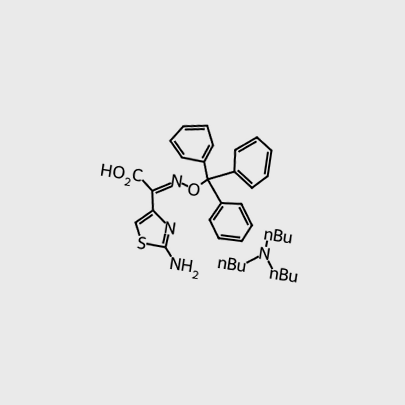 CCCCN(CCCC)CCCC.Nc1nc(C(=NOC(c2ccccc2)(c2ccccc2)c2ccccc2)C(=O)O)cs1